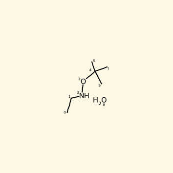 CCNOC(C)(C)C.O